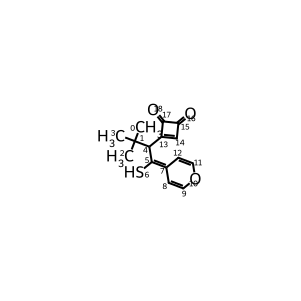 CC(C)(C)C(C(S)=C1C=COC=C1)c1cc(=O)c1=O